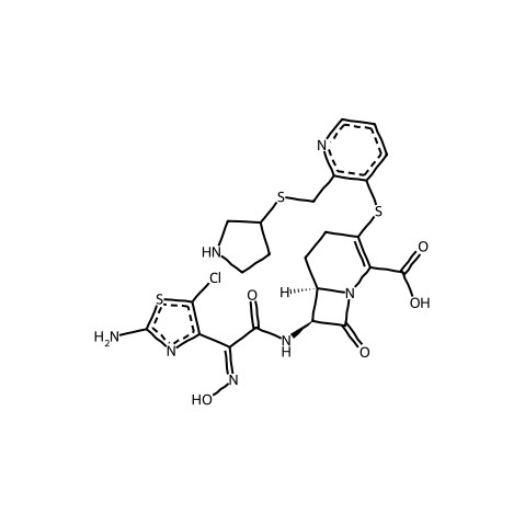 Nc1nc(C(=NO)C(=O)N[C@@H]2C(=O)N3C(C(=O)O)=C(Sc4cccnc4CSC4CCNC4)CC[C@H]23)c(Cl)s1